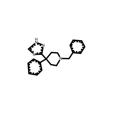 c1ccc(CN2CCC(c3ccccc3)(c3nc[nH]n3)CC2)cc1